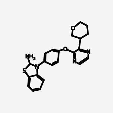 NC1Sc2ccccc2N1c1ccc(Oc2nccnc2C2CCCOC2)cc1